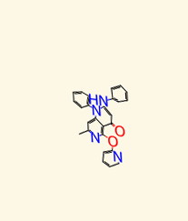 Cc1cc2c(c(Oc3ccccn3)n1)c(=O)cc(Nc1ccccc1)n2-c1ccccc1